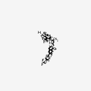 C[C@@H](CCCn1ccc2cc(-c3ncc(OC(F)F)cn3)c(F)cc2c1=O)Nc1cnn(C)c(=O)c1C(F)(F)F